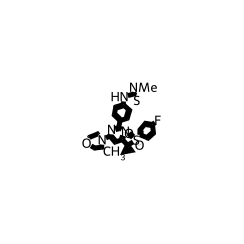 CNC(=S)Nc1ccc(-c2nc(N3CCOC[C@@H]3C)cc(C3(S(=O)(=O)c4ccc(F)cc4)CC3)n2)cc1